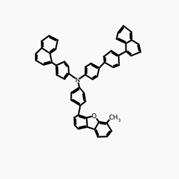 Cc1cccc2c1oc1c(-c3ccc(N(c4ccc(-c5ccc(-c6cccc7ccccc67)cc5)cc4)c4ccc(-c5cccc6ccccc56)cc4)cc3)cccc12